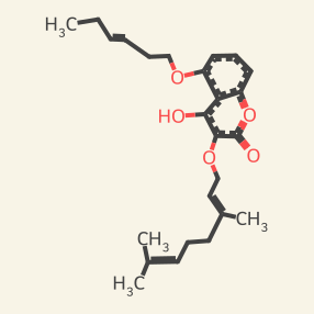 CCC=CCCOc1cccc2oc(=O)c(OC/C=C(\C)CCC=C(C)C)c(O)c12